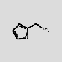 N[CH]c1ccco1